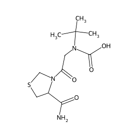 CC(C)(C)N(CC(=O)N1CSCC1C(N)=O)C(=O)O